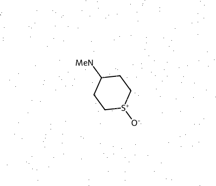 CNC1CC[S+]([O-])CC1